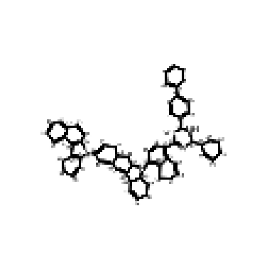 C1=CCCC(c2ccc(C3NC(c4ccc(N5C6CC7CC=C(n8c9c(c%10c%11ccccc%11ccc%108)CCC=C9)C=C7C=C6C6C=CCCC65)c5c4C=CCC5)=NC(C4C=CCCC4)N3)cc2)=C1